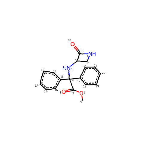 COC(=O)C(NC1CNC1=O)(c1ccccc1)c1ccccc1